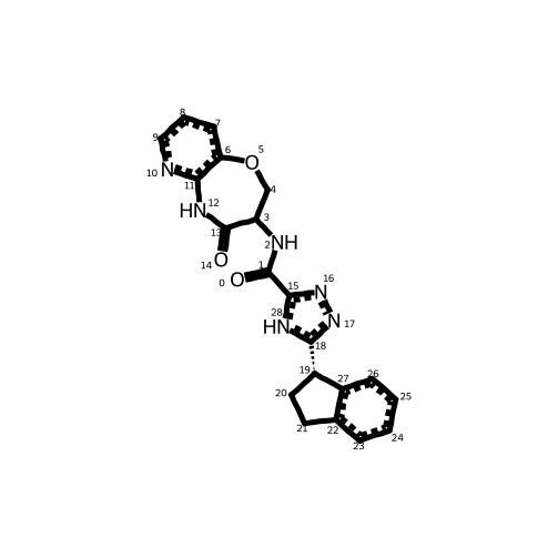 O=C(NC1COc2cccnc2NC1=O)c1nnc([C@H]2CCc3ccccc32)[nH]1